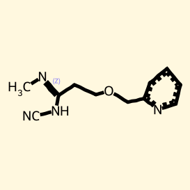 C/N=C(/CCOCc1ccccn1)NC#N